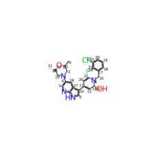 C[C@H]1CN(c2cnc3[nH]cc(C4=CC(O)N(Cc5cccc(Cl)c5F)C=C4)c3c2)C[C@H](C)O1